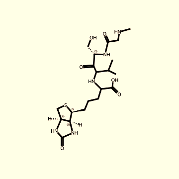 CNCC(=O)N[C@@H](CO)C(=O)C(NC(CCC[C@@H]1SC[C@@H]2NC(=O)N[C@@H]21)C(=O)O)[C](C)C